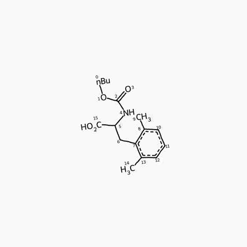 CCCCOC(=O)NC(Cc1c(C)cccc1C)C(=O)O